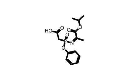 CC(=NP(=O)(CC(=O)O)Oc1ccccc1)C(=O)OC(C)C